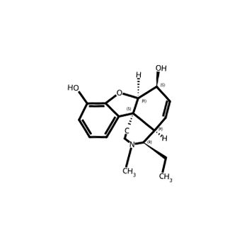 CC[C@@H]1[C@@H]2C=C[C@H](O)[C@@H]3Oc4c(O)cccc4[C@]23CCN1C